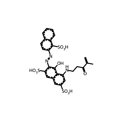 C=C(C)C(=O)CCNc1cc(S(=O)(=O)O)cc2cc(S(=O)(=O)O)c(/N=N/c3ccc4ccccc4c3S(=O)(=O)O)c(O)c12